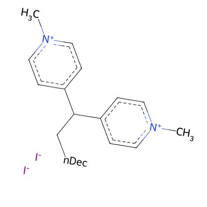 CCCCCCCCCCCC(c1cc[n+](C)cc1)c1cc[n+](C)cc1.[I-].[I-]